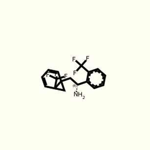 N[C@H](CC12C=CC=CC1(C(F)(F)F)C2)c1ccccc1C(F)(F)F